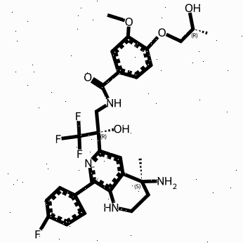 COc1cc(C(=O)NC[C@@](O)(c2cc3c(c(-c4ccc(F)cc4)n2)NCC[C@]3(C)N)C(F)(F)F)ccc1OC[C@@H](C)O